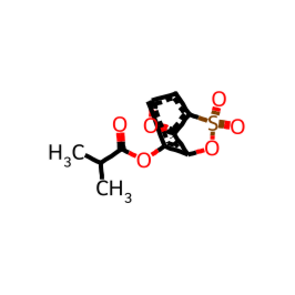 CC(C)C(=O)Oc1c2c3oc1cc3S(=O)(=O)O2